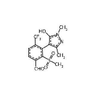 Cc1nn(C)c(O)c1-c1c(C(F)(F)F)ccc(C=O)c1S(C)(=O)=O